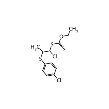 CCOC(=S)SC(Cl)C(C)Sc1ccc(Cl)cc1